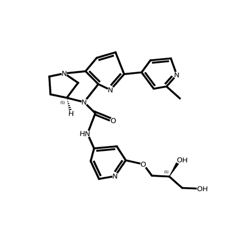 Cc1cc(-c2ccc3c(n2)N(C(=O)Nc2ccnc(OC[C@@H](O)CO)c2)[C@H]2CCN3C2)ccn1